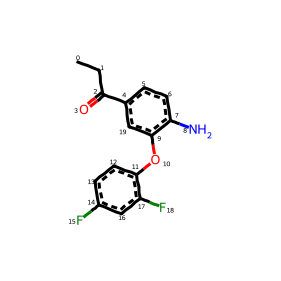 CCC(=O)c1ccc(N)c(Oc2ccc(F)cc2F)c1